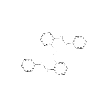 c1ccc(/N=N/c2ccccc2SSc2ccccc2/N=N/c2ccccc2)cc1